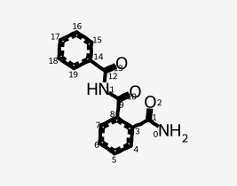 NC(=O)c1ccccc1C(=O)NC(=O)c1ccccc1